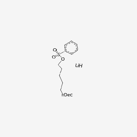 CCCCCCCCCCCCCCCOS(=O)(=O)c1ccccc1.[LiH]